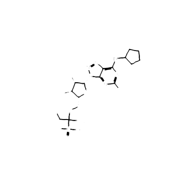 O=P(O)(O)C(CO)(OC[C@H]1O[C@@H](n2nnc3c(NC4CCCC4)nc(Cl)nc32)[C@H](O)[C@@H]1O)C(F)(F)F